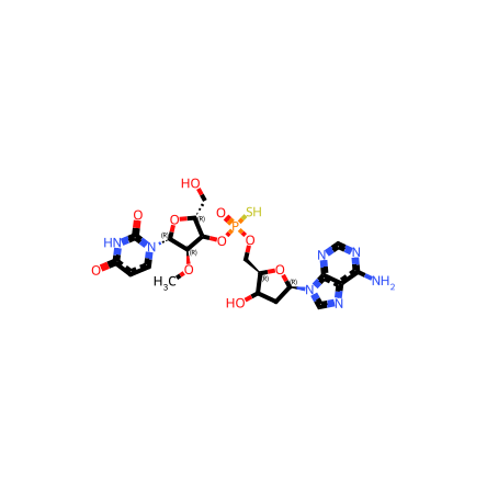 CO[C@@H]1C(OP(=O)(S)OC[C@H]2O[C@@H](n3cnc4c(N)ncnc43)CC2O)[C@@H](CO)O[C@H]1n1ccc(=O)[nH]c1=O